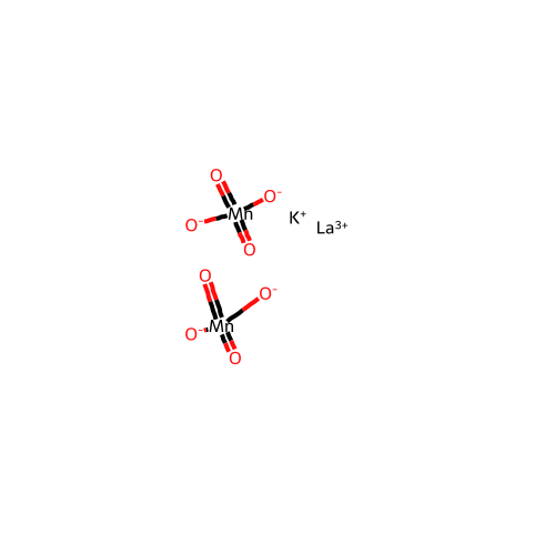 [K+].[La+3].[O]=[Mn](=[O])([O-])[O-].[O]=[Mn](=[O])([O-])[O-]